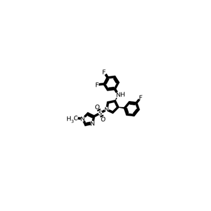 Cn1cnc(S(=O)(=O)N2C[C@H](Nc3ccc(F)c(F)c3)[C@@H](c3cccc(F)c3)C2)c1